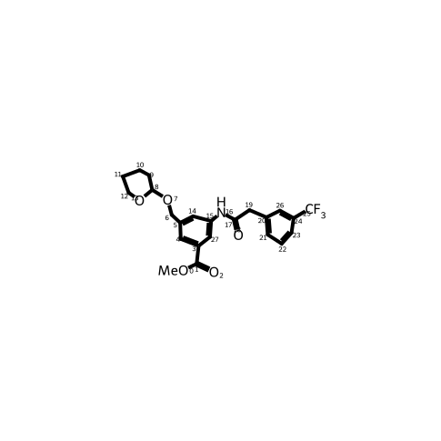 COC(=O)c1cc(COC2CCCCO2)cc(NC(=O)Cc2cccc(C(F)(F)F)c2)c1